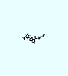 COCCCNC(=O)c1ccnc2[nH]c(-c3cccc(C(F)(F)F)c3)nc12